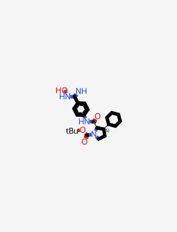 CC(C)(C)OC(=O)N1CC[C@@H](C2CCCCC2)[C@H]1C(=O)Nc1ccc(C(=N)NO)cc1